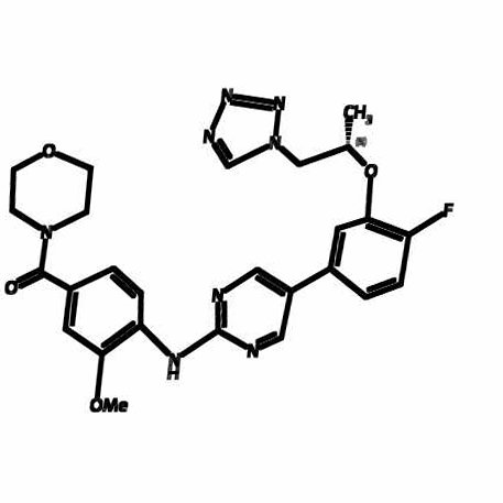 COc1cc(C(=O)N2CCOCC2)ccc1Nc1ncc(-c2ccc(F)c(O[C@@H](C)Cn3cnnn3)c2)cn1